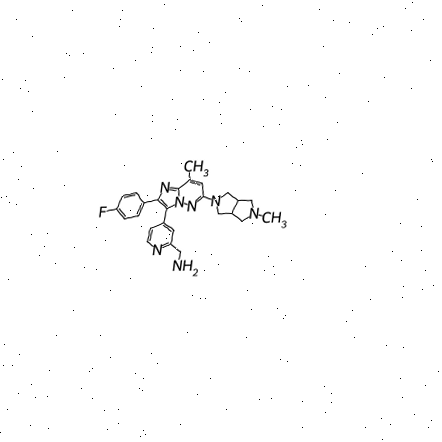 Cc1cc(N2CC3CN(C)CC3C2)nn2c(-c3ccnc(CN)c3)c(-c3ccc(F)cc3)nc12